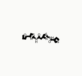 O=C(Cc1csc(NC(=O)c2ccsc2)n1)Nc1nc(-c2ccco2)cs1